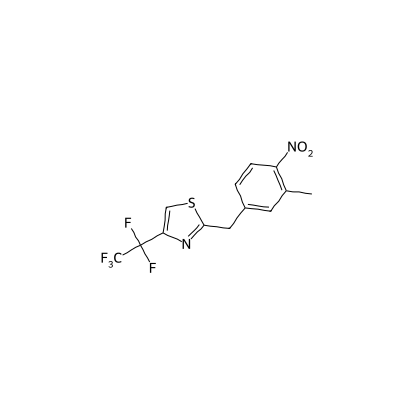 Cc1cc(Cc2nc(C(F)(F)C(F)(F)F)cs2)ccc1[N+](=O)[O-]